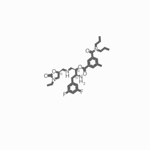 CCCN(CCC)C(=O)c1cc(C)cc(C(=O)O[C@H](CNC[C@H]2CN(CC)C(=O)O2)[C@@H](N)Cc2cc(F)cc(F)c2)c1